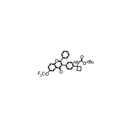 CC(C)(C)OC(=O)NC1(c2ccc(-c3c(-c4ccccc4)oc4ccc(OC(F)(F)F)cc4c3=O)cc2)CCC1